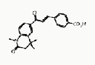 CN1C(=O)CC(C)(C)c2cc(C(=O)C=Cc3ccc(C(=O)O)cc3)ccc21